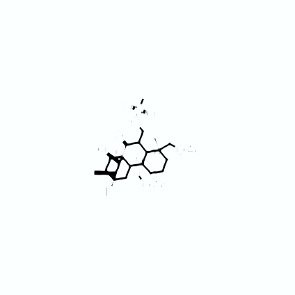 C=C1C(=O)[C@]23CC[C@H]1CC2[C@]1(COC(C)=O)CCC[C@@](C)(COC(C)=O)C1C(COS(C)(=O)=O)C3=O